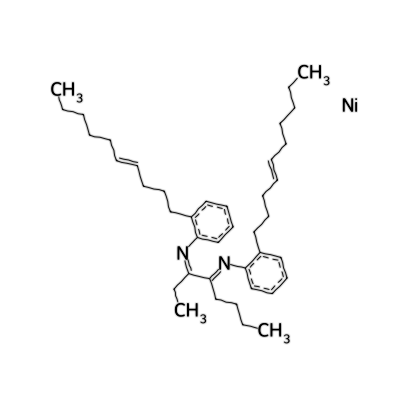 CCCCCC=CCCCc1ccccc1N=C(CC)C(CCCC)=Nc1ccccc1CCCC=CCCCCC.[Ni]